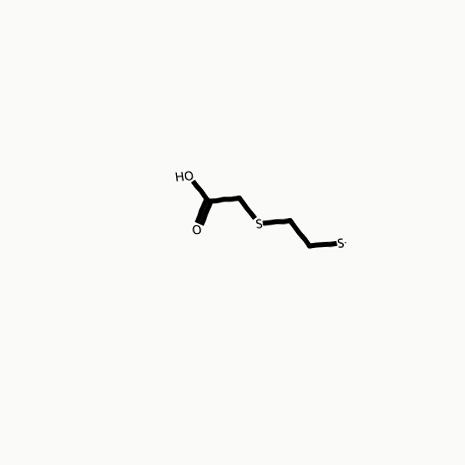 O=C(O)CSCC[S]